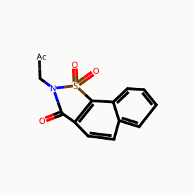 CC(=O)CN1C(=O)c2ccc3ccccc3c2S1(=O)=O